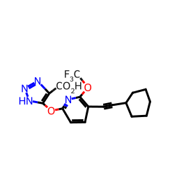 O=C(O)c1nn[nH]c1Oc1ccc(C#CC2CCCCC2)c(OC(F)(F)F)n1